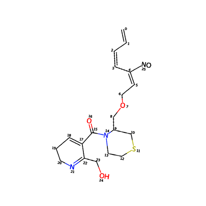 C=C/C=C\C(=C/COCC1CSCCN1C(=O)C1=CCCN=C1CO)N=O